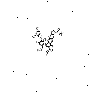 CCOC(=O)c1cn(-c2cc(NCc3ccc(OC)cc3OC)c(F)cc2CO)c2c(Cl)c(OC3CCN(C(=O)OC(C)(C)C)C3)c(F)cc2c1=O